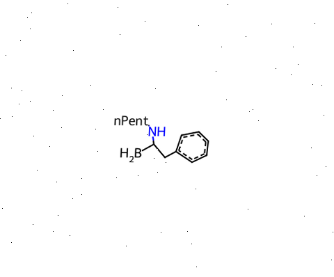 BC(Cc1ccccc1)NCCCCC